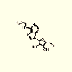 CCNc1ncnc2c1ncn2[C@@H]1O[C@H](CO)C(O)C1O